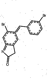 O=C1Cc2cc(=Cc3cccc(Br)c3)c(Br)cc2=N1